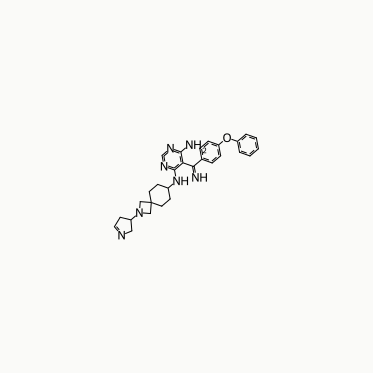 N=C(c1ccc(Oc2ccccc2)cc1)c1c(N)ncnc1NC1CCC2(CC1)CN(C1CC=NC1)C2